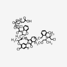 C#CC(C)Oc1cc(N2C(=O)C3=C(CCCC3)C2=O)c(F)cc1Cl.CC1COc2ccccc2N1C(=O)C(Cl)Cl.CCc1cccc(C)c1N(C(=O)CCl)C(C)COC.O=C(O)CNCP(=O)(O)O